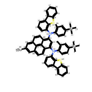 Cc1cc([Si](C)(C)C)ccc1N(c1cc(N(c2ccc([Si](C)(C)C)cc2C)c2cccc3c2sc2ccccc23)c2ccc3cc(C(C)(C)C)cc4ccc1c2c43)c1cccc2c1sc1ccccc12